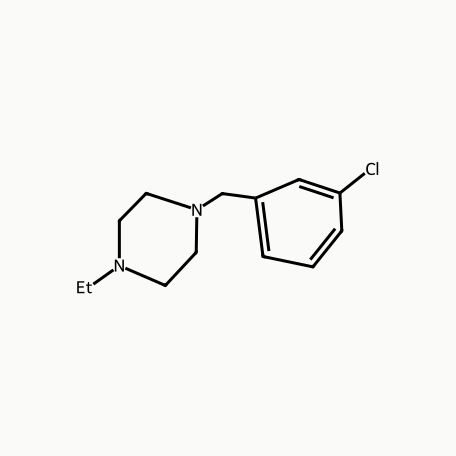 CCN1CCN(Cc2cccc(Cl)c2)CC1